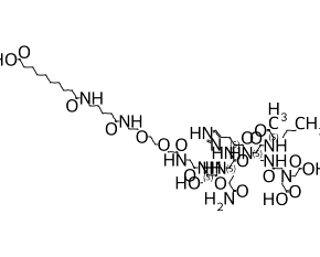 CCCC[C@H](NC(=O)[C@H](CNC(=O)CN(CC(=O)O)CC(=O)O)NC(=O)[C@H](Cc1c[nH]cn1)NC(=O)[C@H](CCC(N)=O)NC(=O)[C@H](CO)NC(=O)CNC(=O)COCCOCCNC(=O)CCCCNC(=O)CCCCCCCCC(=O)O)C(C)=O